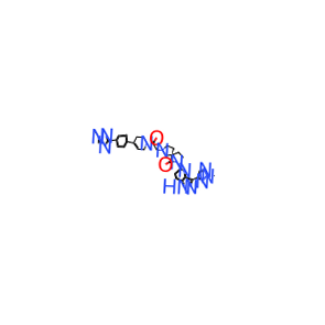 Cn1cnc(-c2ccc(C3=CCN(C(=O)CN4CC[C@]5(CCN(c6ccc7[nH]nc(-c8cnn(C)n8)c7n6)C5=O)C4)CC3)cc2)n1